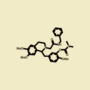 COc1cc2c(cc1OC)C(Cc1ccc(OC)c(OC(=O)N(C)C)c1)N(CC(=O)NCc1ccccc1)CC2